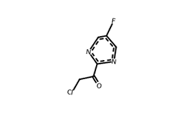 O=C(CCl)c1ncc(F)cn1